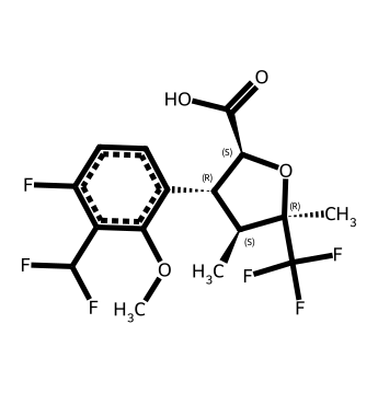 COc1c([C@@H]2[C@@H](C(=O)O)O[C@@](C)(C(F)(F)F)[C@H]2C)ccc(F)c1C(F)F